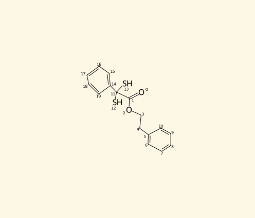 O=C(OCCc1ccccc1)C(S)(S)c1ccccc1